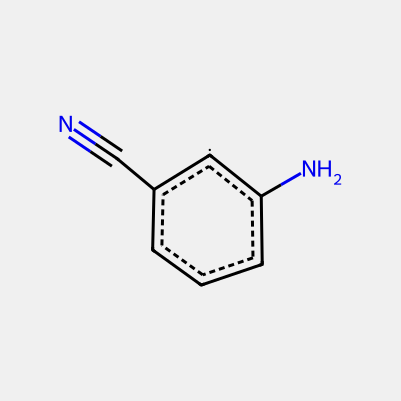 N#Cc1[c]c(N)ccc1